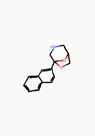 c1ccc2cc(C34CNCC(CO3)O4)ccc2c1